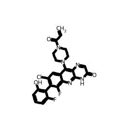 C=CC(=O)N1CCN(c2c3cc(Cl)c(-c4c(O)cccc4F)c(F)c3nc3[nH]c(=O)cnc23)CC1